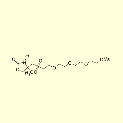 COCCOCCOCCOCCS(=O)(=O)CC1(C)COC(=O)N1Cl